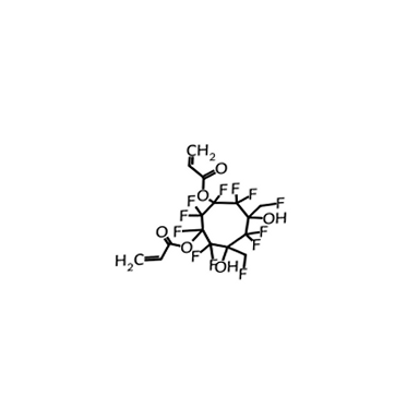 C=CC(=O)OC1(F)C(F)(F)C(O)(CF)C(F)(F)C(O)(CF)C(F)(F)C(F)(OC(=O)C=C)C1(F)F